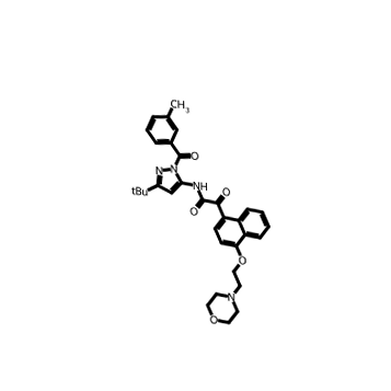 Cc1cccc(C(=O)n2nc(C(C)(C)C)cc2NC(=O)C(=O)c2ccc(OCCN3CCOCC3)c3ccccc23)c1